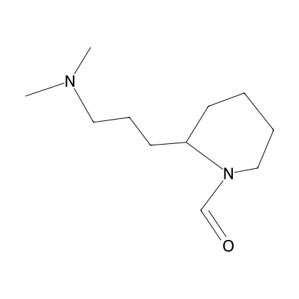 CN(C)CCCC1CCCCN1C=O